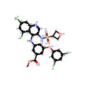 COC(=O)c1cc(Nc2c(NS(=O)(=O)C3COC3)cnc3cc(Br)cc(F)c23)cc(Oc2cc(F)cc(F)c2)c1